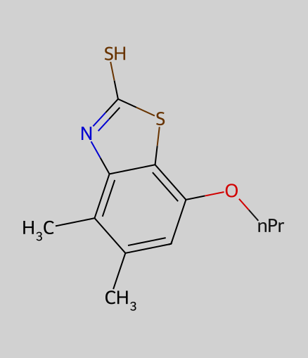 CCCOc1cc(C)c(C)c2nc(S)sc12